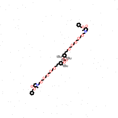 Cc1c(OCc2ccccc2)c(=O)ccn1CCOCCOCCOCCOCCOCCCc1cc(C(C)(C)C)c(OC(=O)Oc2c(C(C)(C)C)cc(CCCOCCOCCOCCOCCOCCn3ccc(=O)c(OCc4ccccc4)c3C)cc2C(C)(C)C)c(C(C)(C)C)c1